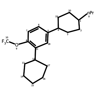 CCCC1CCC(c2ccc(OC(F)(F)F)c(C3CCCCC3)c2)CC1